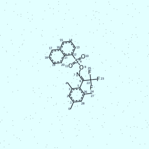 Cc1cc(C)c(/C(=N/OS(=O)(=O)c2cccc3ccccc23)C(F)(F)F)c(C)c1